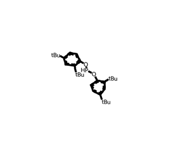 CC(C)(C)c1ccc(OPOc2ccc(C(C)(C)C)cc2C(C)(C)C)c(C(C)(C)C)c1